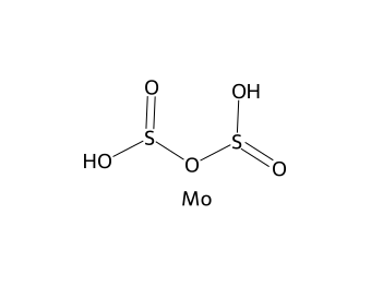 O=S(O)OS(=O)O.[Mo]